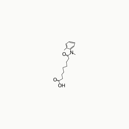 Cc1ccccc1N(C)C(=O)CCCCCCCC(=O)O